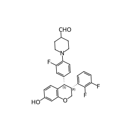 O=CC1CCN(c2ccc([C@H]3c4ccc(O)cc4OC[C@H]3c3cccc(F)c3F)cc2F)CC1